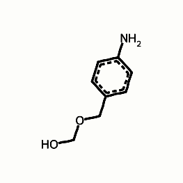 Nc1ccc(COCO)cc1